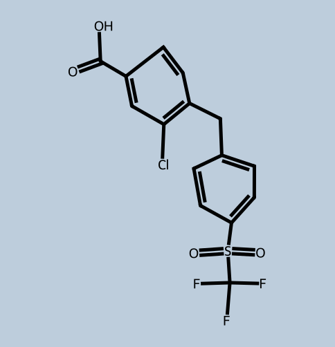 O=C(O)c1ccc(Cc2ccc(S(=O)(=O)C(F)(F)F)cc2)c(Cl)c1